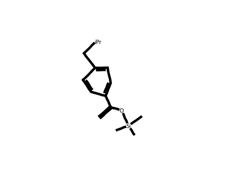 C=C(O[Si](C)(C)C)c1ccc(CC(C)C)cc1